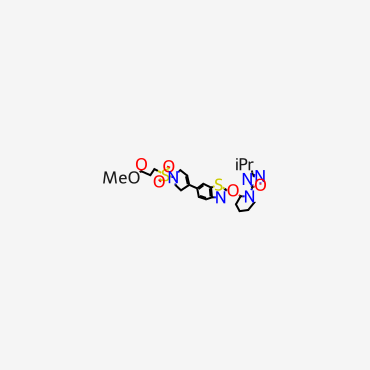 COC(=O)CCS(=O)(=O)N1CC=C(c2ccc3nc(OC4CCCCN4c4nc(C(C)C)no4)sc3c2)CC1